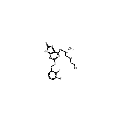 C[C@H](CNCCO)Nc1nc(SCc2cccc(F)c2F)nc2[nH]c(=O)sc12